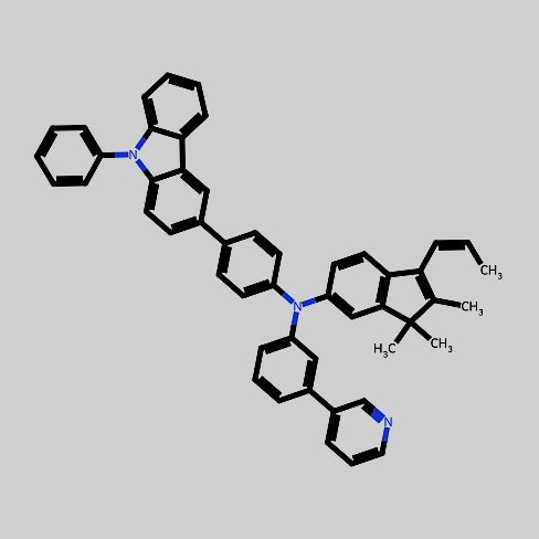 C/C=C\C1=C(C)C(C)(C)c2cc(N(c3ccc(-c4ccc5c(c4)c4ccccc4n5-c4ccccc4)cc3)c3cccc(-c4cccnc4)c3)ccc21